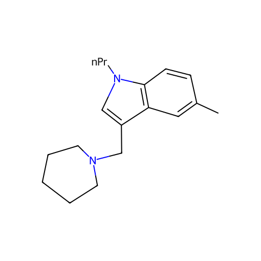 CCCn1cc(CN2CCCCC2)c2cc(C)ccc21